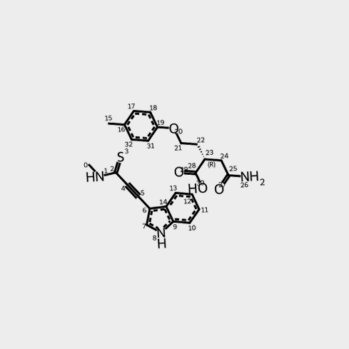 CNC(=S)C#Cc1c[nH]c2ccccc12.Cc1ccc(OCC[C@H](CC(N)=O)C(=O)O)cc1